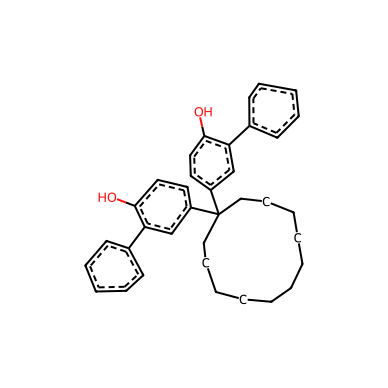 Oc1ccc(C2(c3ccc(O)c(-c4ccccc4)c3)CCCCCCCCCCC2)cc1-c1ccccc1